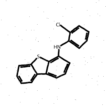 Clc1ccccc1Nc1cccc2c1sc1ccccc12